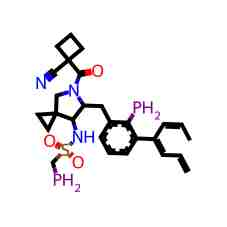 C=C/C=C(\C=C/C)c1cccc(CC2C(NS(=O)(=O)CP)C3(CC3)CN2C(=O)C2(C#N)CCC2)c1P